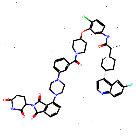 C[C@@H](C(=O)Nc1ccc(Cl)c(OC2CCN(C(=O)c3cccc(N4CCN(c5cccc6c5C(=O)N(C5CCC(=O)NC5=O)C6=O)CC4)c3)CC2)c1)[C@H]1CC[C@@H](c2ccnc3ccc(F)cc32)CC1